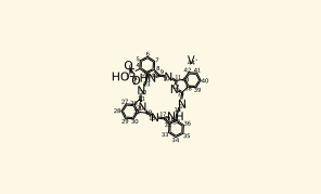 O=S(=O)(O)c1cccc2c3nc4nc(nc5[nH]c(nc6nc(nc([nH]3)c12)-c1ccccc1-6)c1ccccc51)-c1ccccc1-4.[V]